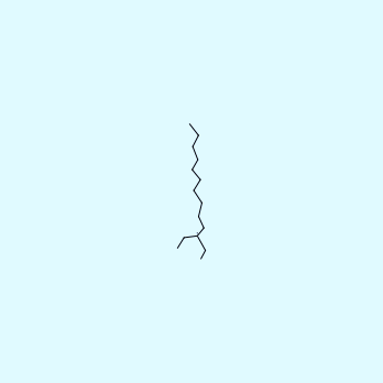 CCCCCCCCCC[C](CC)CC